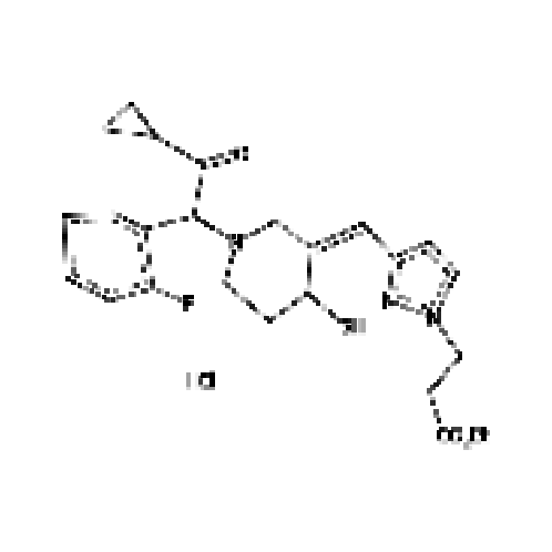 CCOC(=O)CCn1ccc(C=C2CN(C(C(=O)C3CC3)c3ccccc3F)CCC2S)n1.Cl